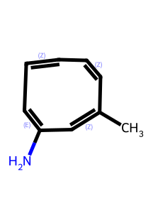 CC1=C/C(N)=C\C=C/C=C\1